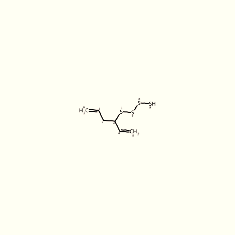 C=CCC(C=C)SSSS